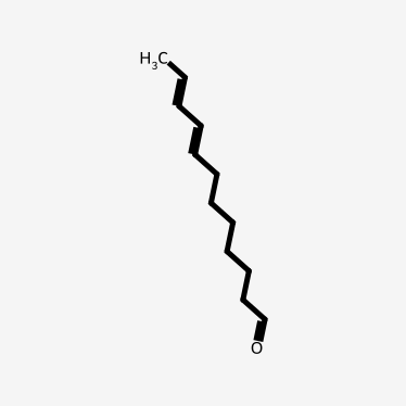 CC=CC=CCCCCCCC=O